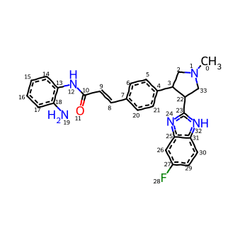 CN1CC(c2ccc(/C=C/C(=O)Nc3ccccc3N)cc2)C(c2nc3cc(F)ccc3[nH]2)C1